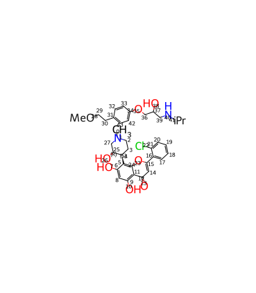 CN1CC[C@@H](c2c(O)cc(O)c3c(=O)cc(-c4ccccc4Cl)oc23)[C@@H](O)C1.COCCc1ccc(OCC(O)CNC(C)C)cc1